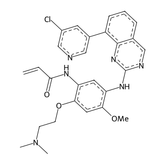 C=CC(=O)Nc1cc(Nc2ncc3cccc(-c4cncc(Cl)c4)c3n2)c(OC)cc1OCCN(C)C